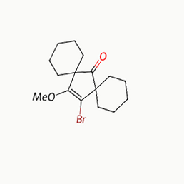 COC1=C(Br)C2(CCCCC2)C(=O)C12CCCCC2